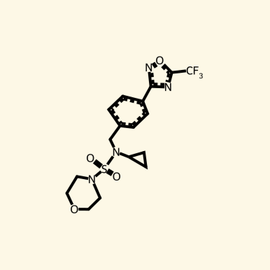 O=S(=O)(N1CCOCC1)N(Cc1ccc(-c2noc(C(F)(F)F)n2)cc1)C1CC1